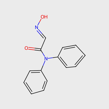 O=C(/C=N/O)N(c1ccccc1)c1ccccc1